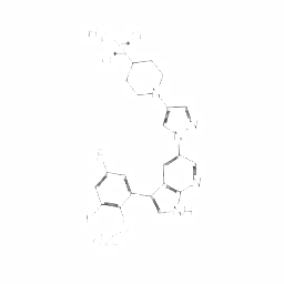 COc1c(F)cc(F)cc1-c1c[nH]c2ncc(-n3cc(N4CCC(S(C)(=O)=O)CC4)cn3)cc12